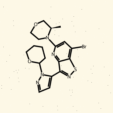 C[C@@H]1COCCN1c1cc(Br)c2snc(-c3ccnn3C3CCCCO3)c2n1